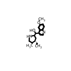 C=C[C@H]1CC(C(O)c2ccnc3ccc(OC)cc23)NCCC1C